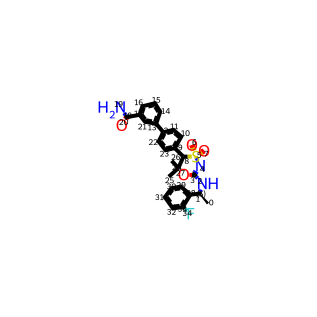 C[C@H](NC1=NS(=O)(=O)C(c2ccc(-c3cccc(C(N)=O)c3)cc2)C(C)(C)O1)c1ccccc1F